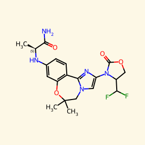 C[C@H](Nc1ccc2c(c1)OC(C)(C)Cn1cc(N3C(=O)OCC3C(F)F)nc1-2)C(N)=O